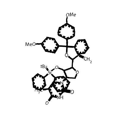 C=CC(OC(c1ccccc1)(c1ccc(OC)cc1)c1ccc(OC)cc1)C1OCC(n2cc(C)c(=O)[nH]c2=O)C1O[Si](c1ccccc1)(c1ccccc1)C(C)(C)C